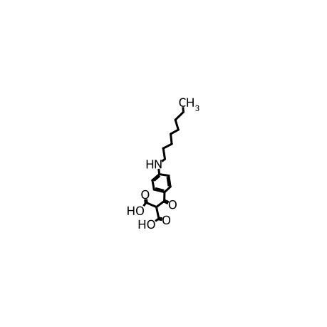 CCCCCCCCNc1ccc(C(=O)C(C(=O)O)C(=O)O)cc1